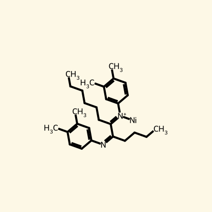 CCCCCCC(C(CCCC)=Nc1ccc(C)c(C)c1)=[N+]([Ni])c1ccc(C)c(C)c1